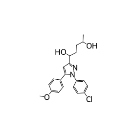 COc1ccc(-c2cc(C(O)CCC(C)O)nn2-c2ccc(Cl)cc2)cc1